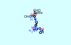 CNC(=O)C(CCC=O)Cc1ccc(N2CC(N3CCC(C)(c4ccc(Nc5nc(N6CCCC(N7C(=O)CN(C)C8CCCCC87)C6)cnc5C(N)=O)cc4)CC3)C2)cc1C(=O)NC=O